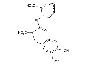 COc1cc(CC(C(=O)O)C(=O)Nc2ccccc2C(=O)O)ccc1O